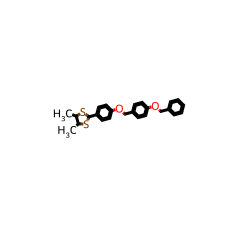 CC1SC(c2ccc(OCc3ccc(OCc4ccccc4)cc3)cc2)SC1C